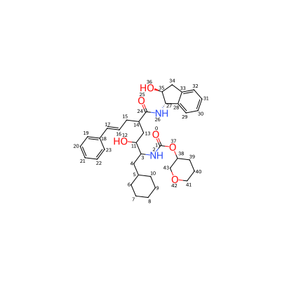 O=C(NC(CC1CCCCC1)C(O)CC(CC=Cc1ccccc1)C(=O)N[C@H]1c2ccccc2C[C@@H]1O)OC1CCCOC1